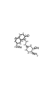 CSc1cnc2ccc(=O)n(CCN3CC[C@H](N)[C@H](O)C3)c2c1